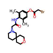 Cc1cc(OC(=O)CBr)cc(C)c1NC(=O)CN1CCCC2(CCOCC2)C1